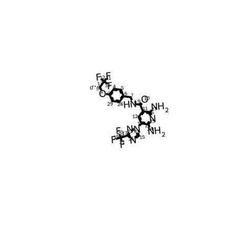 C[C@@H](Oc1ccc(CNC(=O)c2cc(-n3cnc(C(F)(F)F)n3)c(N)nc2N)cc1)C(F)(F)F